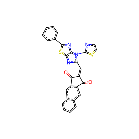 O=C1C(=Cc2nc3sc(-c4ccccc4)nc3n2-c2nccs2)C(=O)c2cc3ccccc3cc21